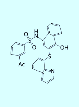 CC(=O)c1cccc(S(=O)(=O)Nc2cc(Sc3cccc4cccnc34)c(O)c3ccccc23)c1